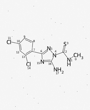 CNC(=S)n1nc(-c2ccc(Cl)cc2Cl)nc1N